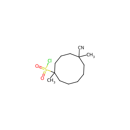 CC1(C#N)CCCCCC(C)(S(=O)(=O)Cl)CCC1